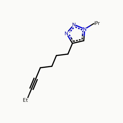 CCC#CCCCCc1cn(C(C)C)nn1